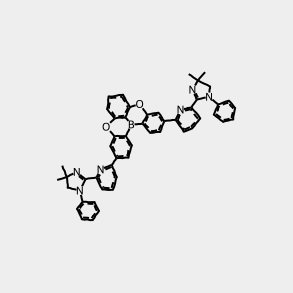 CC1(C)CN(c2ccccc2)C(c2cccc(-c3ccc4c(c3)Oc3cccc5c3B4c3ccc(-c4cccc(C6=NC(C)(C)CN6c6ccccc6)n4)cc3O5)n2)=N1